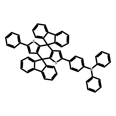 c1ccc(-c2cc3c(s2)C2(c4ccccc4-c4ccccc42)c2cc(-c4ccc(N(c5ccccc5)c5ccccc5)cc4)sc2C32c3ccccc3-c3ccccc32)cc1